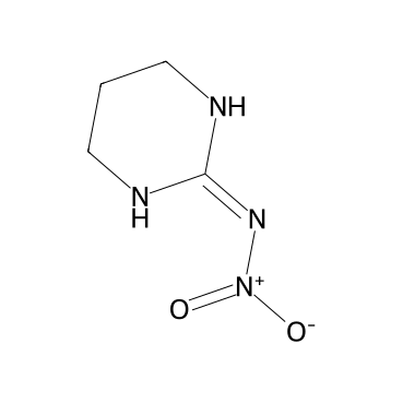 O=[N+]([O-])N=C1NCCCN1